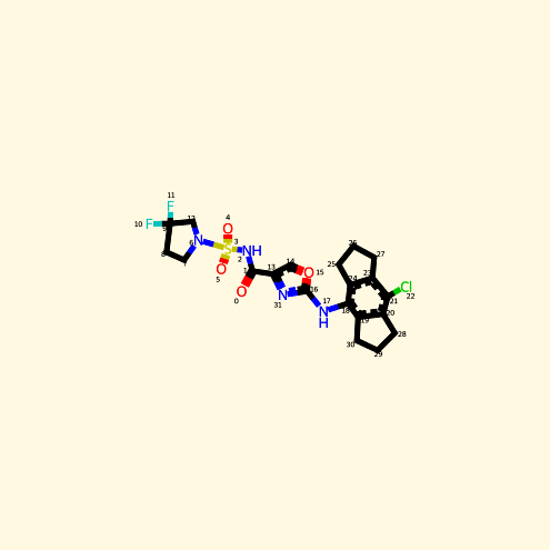 O=C(NS(=O)(=O)N1CCC(F)(F)C1)c1coc(Nc2c3c(c(Cl)c4c2CCC4)CCC3)n1